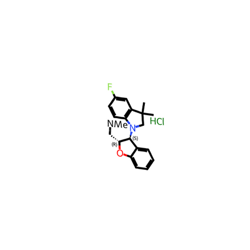 CNC[C@H]1Oc2ccccc2[C@@H]1N1CC(C)(C)c2cc(F)ccc21.Cl